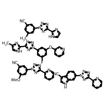 COc1cc(C#N)cc(-n2nnc(-c3ccccn3)n2)c1.Cc1c[nH]c(-c2nnn(-c3cc(F)cc(Oc4cccnc4)c3)n2)n1.Cc1cc(C#N)cc(-n2nnc(-c3ncc[nH]3)n2)c1.N#Cc1c[nH]c2cc(-n3nnc(-c4ccccn4)n3)ccc12